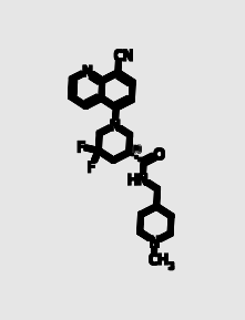 CN1CCC(CNC(=O)[C@H]2CN(c3ccc(C#N)c4ncccc34)CC(F)(F)C2)CC1